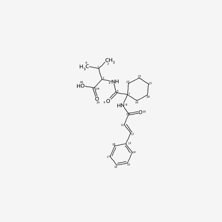 CC(C)C(NC(=O)C1(NC(=O)C=Cc2ccccc2)CCCCC1)C(=O)O